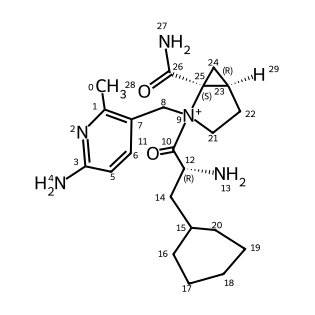 Cc1nc(N)ccc1C[N+]1(C(=O)[C@H](N)CC2CCCCC2)CC[C@@H]2C[C@@]21C(N)=O